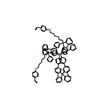 C=Cc1ccc(OCCCCCCC2(c3ccccc3)c3ccccc3-c3ccc(N(c4ccc(-c5ccccc5)cc4)c4ccc(-c5ccc6c(c5)C5(c7ccccc7-6)c6ccccc6-c6ccc(-c7ccc(N(c8ccc(-c9ccccc9)cc8)c8ccc9c(c8)C(CCCCCCOc8ccc(C=C)cc8)(c8ccccc8)c8ccccc8-9)cc7)cc65)cc4)cc32)cc1